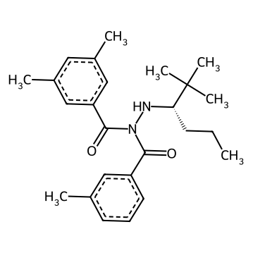 CCC[C@H](NN(C(=O)c1cccc(C)c1)C(=O)c1cc(C)cc(C)c1)C(C)(C)C